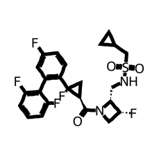 O=C([C@@H]1C[C@@]1(F)c1ccc(F)cc1-c1c(F)cccc1F)N1C[C@@H](F)[C@H]1CNS(=O)(=O)CC1CC1